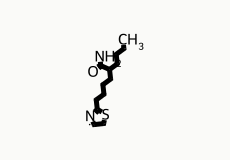 CCCCC(CCCCC1=N[CH]CS1)C(N)=O